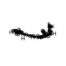 O=C(CN1CCN(c2ccc(C(=O)Nc3n[nH]c4ccc(Cc5cc(F)cc(F)c5)cc34)c(NC3CCOCC3)c2)CC1)NCCOCCOCCOCCNc1ccc2c(c1)C(=O)N(C1CCC(=O)NC1=O)C2=O